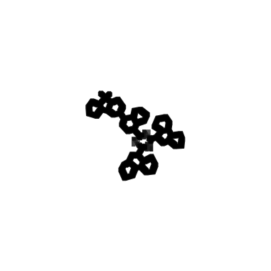 CC1(C)c2ccccc2-c2cc(-c3ccc(-c4nc(-c5cc6ccccc6c6ccccc56)nc(-c5cc6ccccc6c6ccccc56)n4)c4ccccc34)ccc21